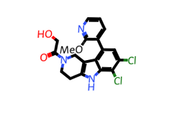 COc1ncccc1-c1cc(Cl)c(Cl)c2[nH]c3c(c12)CN(C(=O)CO)CC3